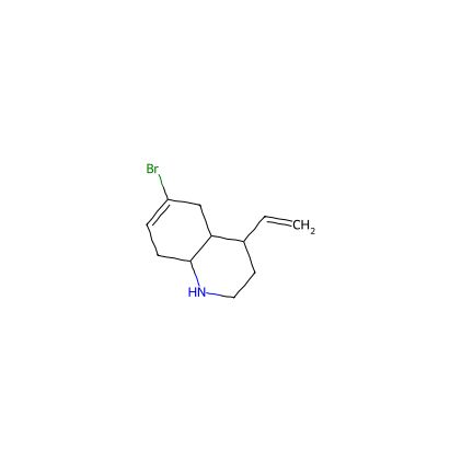 C=CC1CCNC2CC=C(Br)CC12